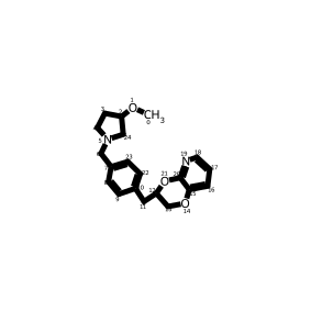 COC1CCN(Cc2ccc(CC3COc4cccnc4O3)cc2)C1